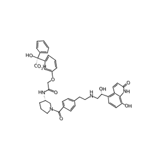 O=C(COc1cccc([C@](O)(C(=O)O)c2ccccc2)c1)N[C@H]1CCCN(C(=O)c2ccc(CCNC[C@H](O)c3ccc(O)c4[nH]c(=O)ccc34)cc2)C1